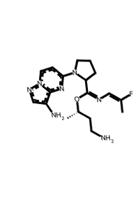 C/C(F)=C\N=C(\O[C@@H](C)CCN)C1CCCN1c1ccn2ncc(N)c2n1